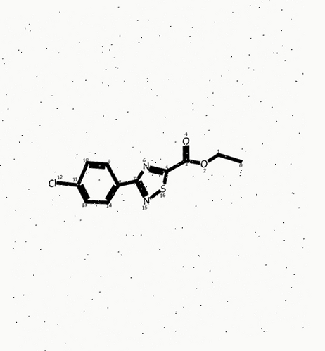 CCOC(=O)c1nc(-c2ccc(Cl)cc2)ns1